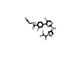 N#CCNC(=O)c1ccc(-c2nc(Nc3cnn(C(F)C(F)F)c3)ncc2F)cc1F